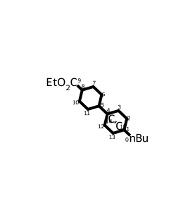 CCCCC12CCC(C3CCC(C(=O)OCC)CC3)(CC1)CC2